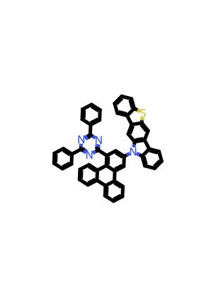 c1ccc(-c2nc(-c3ccccc3)nc(-c3cc(-n4c5ccccc5c5cc6sc7ccccc7c6cc54)cc4c5ccccc5c5ccccc5c34)n2)cc1